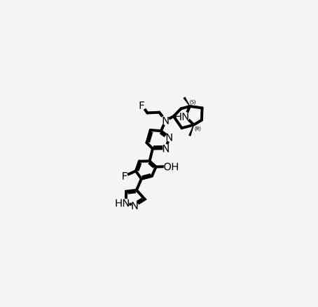 C[C@]12CC[C@](C)(CC(N(CCF)c3ccc(-c4cc(F)c(-c5cn[nH]c5)cc4O)nn3)C1)N2